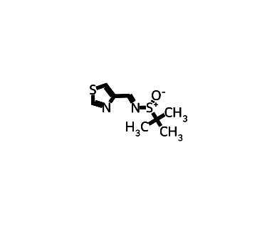 CC(C)(C)[S+]([O-])N=Cc1cscn1